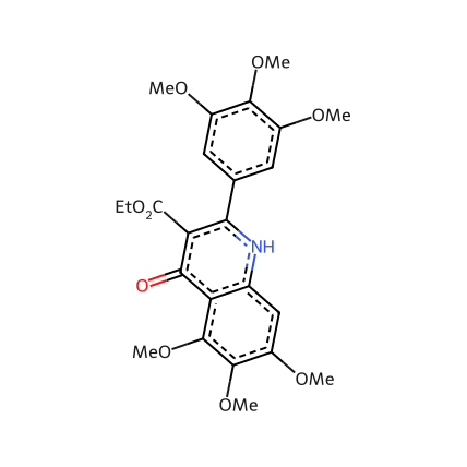 CCOC(=O)c1c(-c2cc(OC)c(OC)c(OC)c2)[nH]c2cc(OC)c(OC)c(OC)c2c1=O